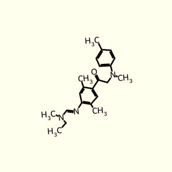 CCN(C)C=Nc1cc(C)c(C(=O)CN(C)c2ccc(C)cc2)cc1C